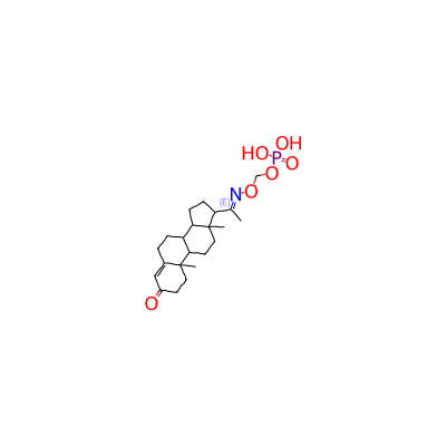 C/C(=N\OCOP(=O)(O)O)C1CCC2C3CCC4=CC(=O)CCC4(C)C3CCC12C